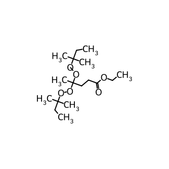 CCOC(=O)CCC(C)(OOC(C)(C)CC)OOC(C)(C)CC